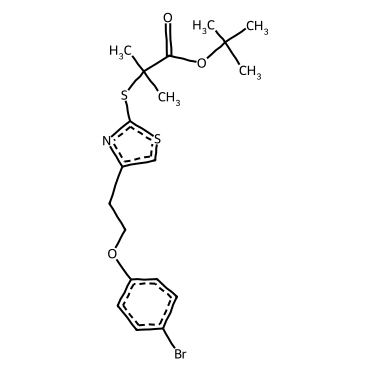 CC(C)(C)OC(=O)C(C)(C)Sc1nc(CCOc2ccc(Br)cc2)cs1